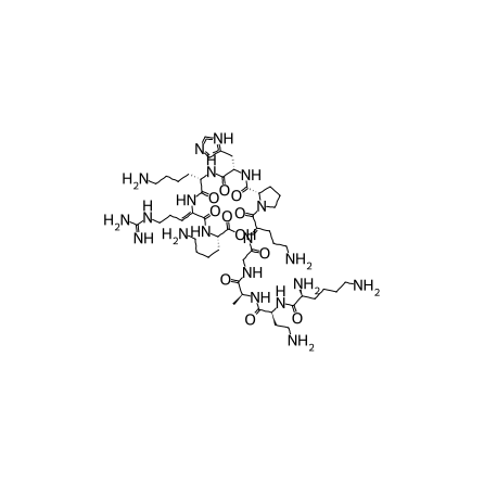 C[C@H](NC(=O)[C@H](CCN)NC(=O)[C@@H](N)CCCCN)C(=O)NCC(=O)/N=C(\CCCN)C(=O)N1CCC[C@H]1C(=O)N[C@@H](Cc1cnc[nH]1)C(=O)N[C@@H](CCCCN)C(=O)N/C(=C\CCNC(=N)N)C(=O)N[C@@H](CCCCN)C(=O)O